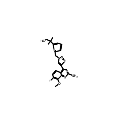 COc1c(F)ccc2c(-c3cn(Cc4cccc(C(C)(C)CO)n4)nn3)nc(N)nc12